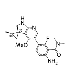 COc1c(-c2ccc(N)c(C(=O)N(C)C)c2F)cnc2c1[C@]1(CN2)C[C@H]1C